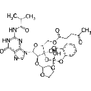 CC(=O)CCC(=O)OC[C@H]1O[C@@H](n2cnc3c(=O)[nH]c(NC(=O)C(C)C)nc32)[C@H](OC2CCCO2)[C@]1(O)OP(=O)(O)Oc1ccccc1Cl